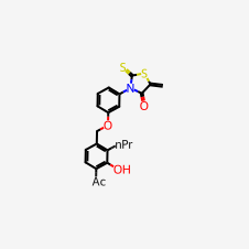 C=C1SC(=S)N(c2cccc(OCc3ccc(C(C)=O)c(O)c3CCC)c2)C1=O